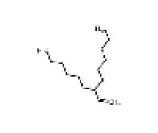 C=CC(CCCCCC)CCCCCC